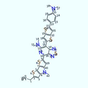 CC(C)Cc1cc2c(s1)c1sc(-c3nc(N(C)C)c(-c4cc5sc(-c6ccc(N(C)C)cc6)cc5s4)c4nsnc34)cc1n2C